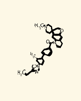 CCC1N=CN(c2ccc(-c3ccc(C(=O)N4CCCc5cc6c(cc54)C4(CCN(C)CC4)CO6)cc3)c(C)c2)O1